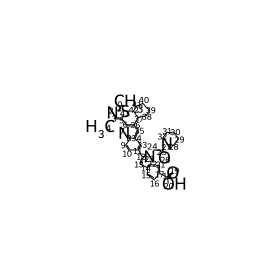 Cc1nc(C)c(-c2nc3ccc(-c4cc5ccc(C(=O)O)cc5n4CC(=O)N4CCCCC4)cc3cc2C2CCCCC2)s1